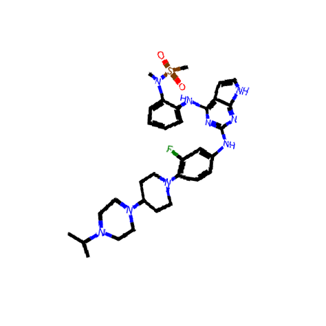 CC(C)N1CCN(C2CCN(c3ccc(Nc4nc(Nc5ccccc5N(C)S(C)(=O)=O)c5cc[nH]c5n4)cc3F)CC2)CC1